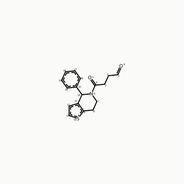 O=CCCC(=O)N1CCc2sccc2C1c1ccccc1